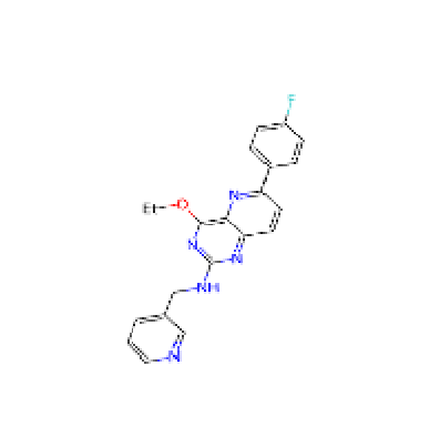 CCOc1nc(NCc2cccnc2)nc2ccc(-c3ccc(F)cc3)nc12